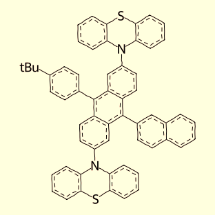 CC(C)(C)c1ccc(-c2c3ccc(N4c5ccccc5Sc5ccccc54)cc3c(-c3ccc4ccccc4c3)c3ccc(N4c5ccccc5Sc5ccccc54)cc23)cc1